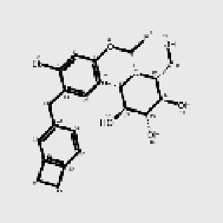 CCc1cc(OCF)c([C@@H]2O[C@H](CO)[C@@H](O)[C@H](O)[C@H]2O)cc1Cc1ccc2c(c1)CC2